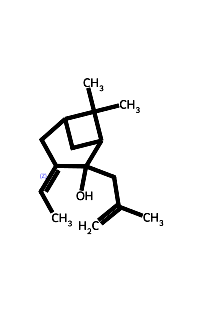 C=C(C)CC1(O)/C(=C\C)CC2CC1C2(C)C